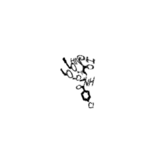 C#CCOC[C@@H](C[C@@H](COCOCC)NC(=O)c1ccc(Cl)cc1)C(=O)NO